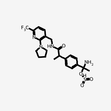 CC(C(=O)NCc1ccc(C(F)(F)F)nc1N1CCCC1)c1ccc(C(C)(N)O[SH](=O)=O)cc1